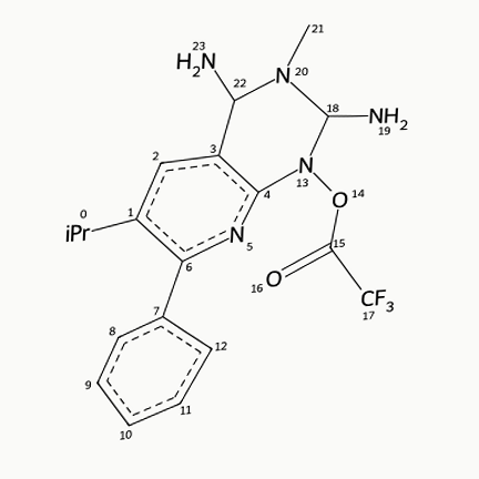 CC(C)c1cc2c(nc1-c1ccccc1)N(OC(=O)C(F)(F)F)C(N)N(C)C2N